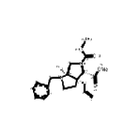 C=CC[C@]12CCN(Cc3ccccc3)[C@H]1CN(C(=O)OC(C)(C)C)[C@@H]2C(=O)OC